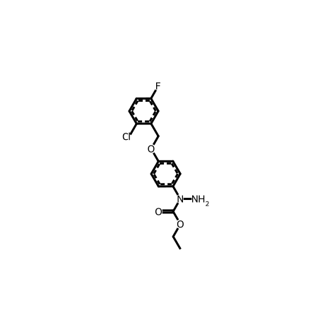 CCOC(=O)N(N)c1ccc(OCc2cc(F)ccc2Cl)cc1